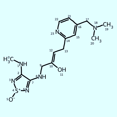 CNc1n[s+]([O-])nc1NC/C(O)=C/Cc1cc(CN(C)C)ccn1